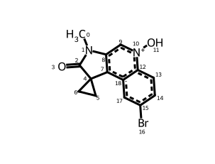 CN1C(=O)C2(CC2)c2c1c[n+](O)c1ccc(Br)cc21